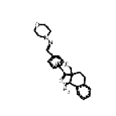 NC1c2ccccc2CCC1(CC(=O)O)C(=O)c1ccc(C=NN2CCOCC2)cc1